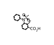 CS(=O)(=O)N(c1ccccc1)c1cccc(C(=O)O)c1F